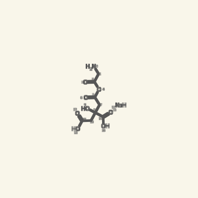 NCC(=O)OC(=O)CC(O)(CC(=O)O)C(=O)O.[NaH]